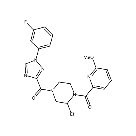 CCC1CN(C(=O)c2ncn(-c3cccc(F)c3)n2)CCN1C(=O)c1cccc(OC)n1